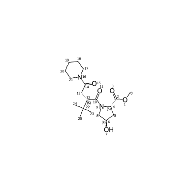 COC(=O)[C@@H]1C[C@@H](O)CN1C(=O)[C@@H](CC(=O)N1CCCCC1)C(C)(C)C